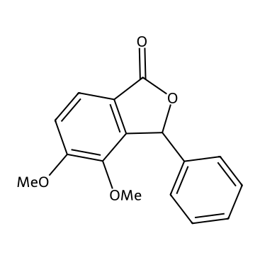 COc1ccc2c(c1OC)C(c1ccccc1)OC2=O